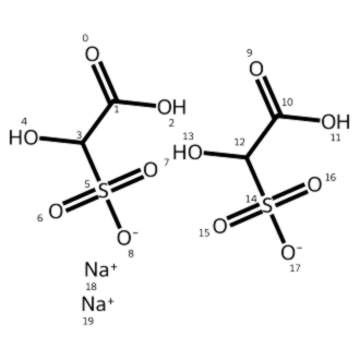 O=C(O)C(O)S(=O)(=O)[O-].O=C(O)C(O)S(=O)(=O)[O-].[Na+].[Na+]